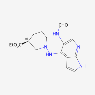 CCOC(=O)[C@H]1CCCN(Nc2c(NC=O)cnc3[nH]ccc23)C1